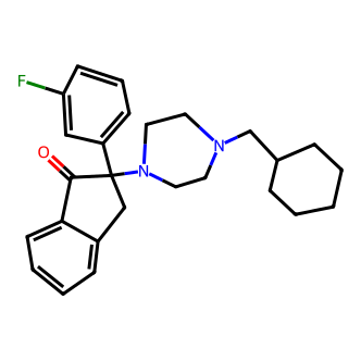 O=C1c2ccccc2CC1(c1cccc(F)c1)N1CCN(CC2CCCCC2)CC1